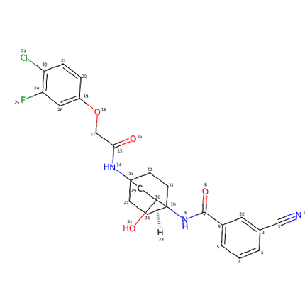 N#Cc1cccc(C(=O)NC23CCC(NC(=O)COc4ccc(Cl)c(F)c4)(CC2)C[C@@H]3O)c1